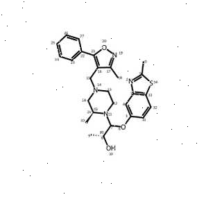 Cc1nc2cc(OC([C@@H](C)O)N3CCN(Cc4c(C)noc4-c4ccccc4)C[C@@H]3C)ccc2s1